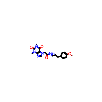 COc1ccc(CCCNC(=O)Cn2cnc3c2c(=O)n(C)c(=O)n3C)cc1